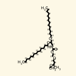 CCCCCCCCCCCCCCOCC(CNC(=O)OCCOCCC(C)OC)OCCCCCCCCCCCCCC